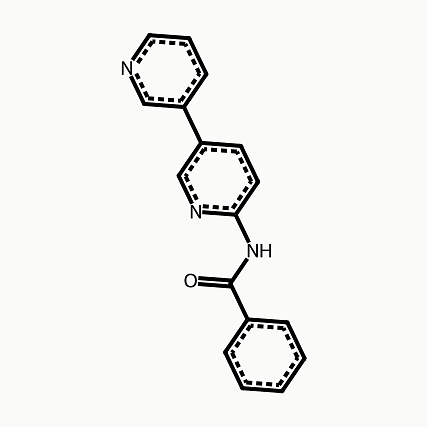 O=C(Nc1ccc(-c2cccnc2)cn1)c1ccccc1